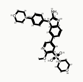 COc1ncc(-c2ccc3nc(N)n(-c4ccc(N5CCOCC5)cc4)c3c2)cc1S(=O)(=O)N1CCOCC1